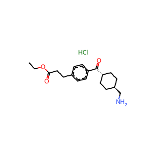 CCOC(=O)CCc1ccc(C(=O)[C@H]2CC[C@H](CN)CC2)cc1.Cl